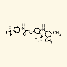 C=Nc1cc(OCC(=O)Nc2ccc(C(F)(F)F)cc2)ccc1NC1CC(C)CC(C)C1